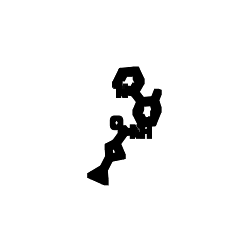 Cc1ccc(NC(=O)C2CC(C3CC3)C2)cc1-c1ccccn1